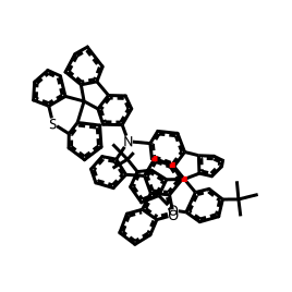 CC(C)(C)c1ccc2c(c1)C1(c3cc(C(C)(C)C)ccc3O2)c2ccccc2-c2ccc(N(c3ccc4c(c3)C3(c5ccccc5Sc5ccccc53)c3ccccc3-4)c3ccccc3-c3cccc4oc5ccccc5c34)cc21